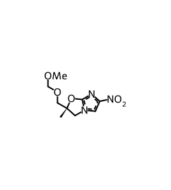 COCOC[C@@]1(C)Cn2cc([N+](=O)[O-])nc2O1